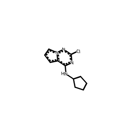 Clc1nc(NC2CCCC2)c2cccn2n1